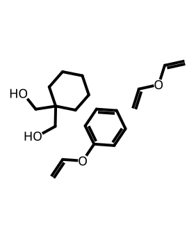 C=COC=C.C=COc1ccccc1.OCC1(CO)CCCCC1